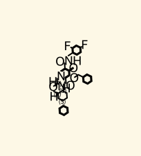 O=C(NCc1ccc(F)cc1F)c1cn2c(c(OCc3ccccc3)c1=O)C(=O)N1[C@@H](C2)OC[C@@H]2C[C@@H](c3ccccc3)CC[C@@H]21